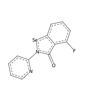 O=c1c2c(F)cccc2[se]n1-c1ccccn1